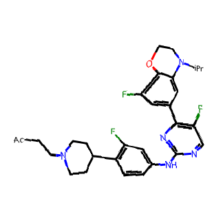 CC(=O)CCN1CCC(c2ccc(Nc3ncc(F)c(-c4cc(F)c5c(c4)N(C(C)C)CCO5)n3)cc2F)CC1